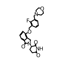 O=C1CC[C@@H](N2Cc3c(OCc4cccc(CN5CCOCC5)c4F)cccc3C2=O)C(=O)N1